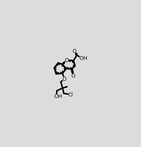 CC(CO)(CCl)COc1cccc2oc(C(=O)O)cc(=O)c12